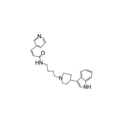 O=C(/C=C\c1cccnc1)NCCCCN1CCC(c2c[nH]c3ccccc23)CC1